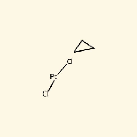 C1CC1.[Cl][Pt][Cl]